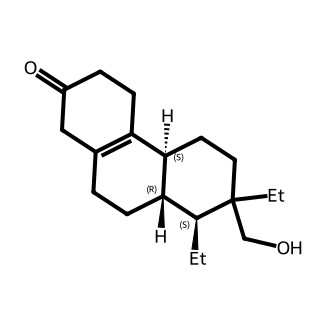 CC[C@H]1[C@@H]2CCC3=C(CCC(=O)C3)[C@H]2CCC1(CC)CO